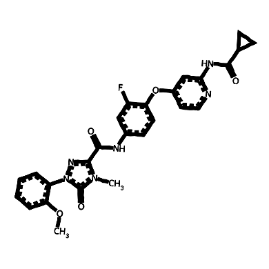 COc1ccccc1-n1nc(C(=O)Nc2ccc(Oc3ccnc(NC(=O)C4CC4)c3)c(F)c2)n(C)c1=O